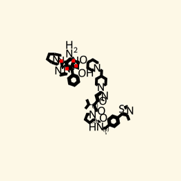 Cc1ncsc1-c1ccc([C@H](C)NC(=O)[C@@H]2CCCN2C(=O)[C@@H](c2cc(N3CCC(CN4CCC(OC5CC(n6ccnc6CN6C7CCC6CN(c6cc(-c8ccccc8O)nnc6N)C7)C5)CC4)CC3)no2)C(C)C)cc1